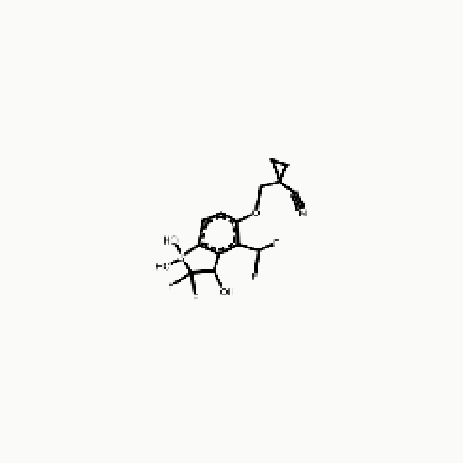 N#CC1(COc2ccc3c(c2C(F)F)C(O)C(F)(F)S3(O)O)CC1